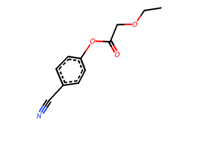 CCOCC(=O)Oc1ccc(C#N)cc1